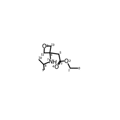 CCOC(=O)CC1(NC(C)C)COC1